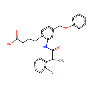 CC(C(=O)Nc1cc(COc2ccccc2)ccc1CCCC(=O)O)c1ccccc1Cl